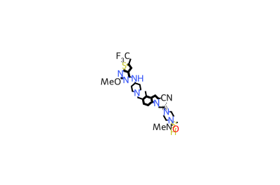 CN[SH](C)(=O)N1CCN([C@@H](C)Cn2c(C#N)cc3c(C)c(CN4CCC(Nc5nc(OC)nc6sc(CC(F)(F)F)cc56)CC4)ccc32)CC1